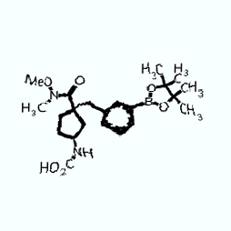 CON(C)C(=O)[C@@]1(Cc2cccc(B3OC(C)(C)C(C)(C)O3)c2)CC[C@H](NC(=O)O)C1